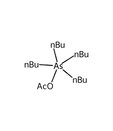 CCCC[As](CCCC)(CCCC)(CCCC)OC(C)=O